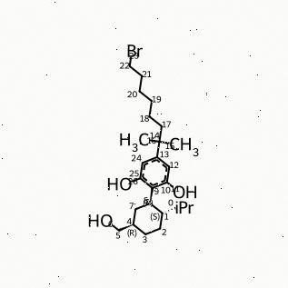 CC(C)[C@@H]1CC[C@@H](CO)C[C@H]1c1c(O)cc(C(C)(C)CCCCCCBr)cc1O